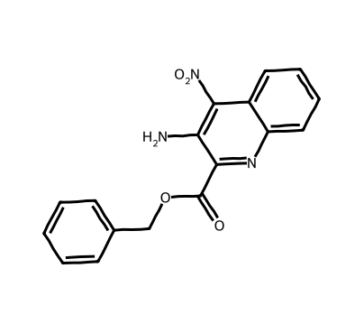 Nc1c(C(=O)OCc2ccccc2)nc2ccccc2c1[N+](=O)[O-]